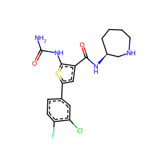 NC(=O)Nc1sc(-c2ccc(F)c(Cl)c2)cc1C(=O)N[C@H]1CCCCNC1